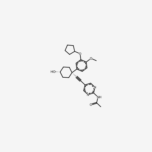 COc1ccc([C@]2(C#Cc3cnc(NC(C)=O)nc3)CC[C@@H](O)CC2)cc1OC1CCCC1